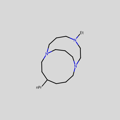 CCCC1CCCN2CCCN(CCCN(CC)CC2)CC1